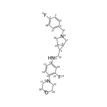 Fc1ccc(CN2CC3C(CNc4ccc(N5CCOCC5)c(F)c4)C3C2)cc1